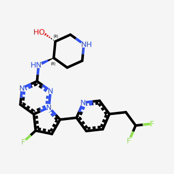 O[C@@H]1CNCC[C@H]1Nc1ncc2c(F)cc(-c3ccc(CC(F)F)cn3)n2n1